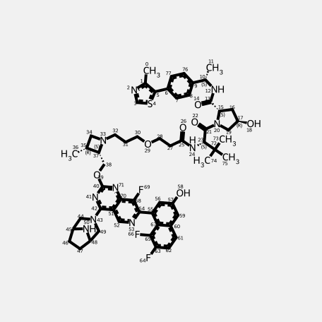 Cc1ncsc1-c1ccc([C@H](C)NC(=O)[C@@H]2C[C@@H](O)CN2C(=O)[C@@H](NC(=O)CCOCCCN2C[C@@H](C)[C@H]2COc2nc(N3CC4CCC(C3)N4)c3cnc(-c4cc(O)cc5ccc(F)c(F)c45)c(F)c3n2)C(C)(C)C)cc1